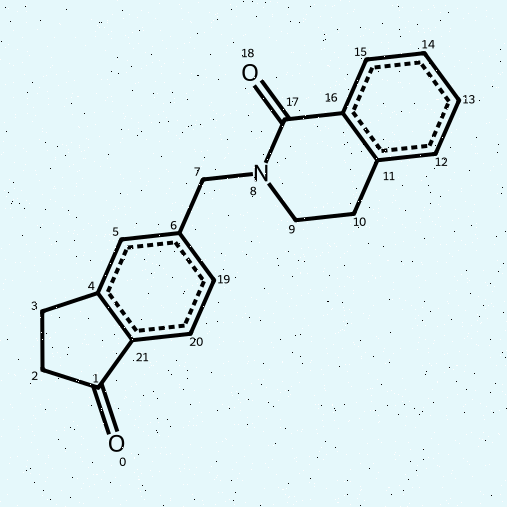 O=C1CCc2cc(CN3CCc4ccccc4C3=O)ccc21